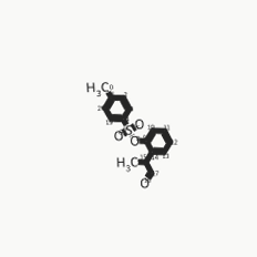 Cc1ccc(S(=O)(=O)Oc2ccccc2C(C)C=O)cc1